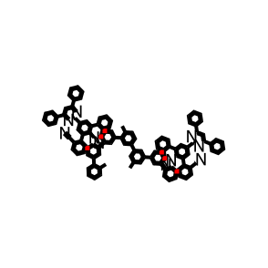 Cc1cc(-c2ccc(C)c(-c3ccc4c(c3)c3cc(-c5ccccc5C)ccc3n4-c3c(-c4ccccc4C#N)cc(-c4nc(-c5ccccc5)cc(-c5ccccc5)n4)cc3-c3ccccc3C#N)c2)cc(-c2ccc3c(c2)c2ccccc2n3-c2c(-c3ccccc3C#N)cc(-c3nc(-c4ccccc4)cc(-c4ccccc4)n3)cc2-c2ccccc2C#N)c1